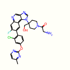 Cc1ccnc(Oc2ccc(-c3cc4c(cc3F)ncc3ncn(C5(CO)CCN(C(=O)CN)CC5)c34)c(Cl)c2)n1